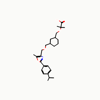 Cc1oc(-c2ccc(C(C)C)cc2)nc1COCC1CCCC(COC(C)(C)C(=O)O)C1